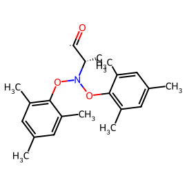 Cc1cc(C)c(ON(Oc2c(C)cc(C)cc2C)[C@@H](C)[C]=O)c(C)c1